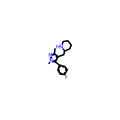 Cc1nn(C)c(-c2ccc(F)cc2)c1CC1CCCCN1